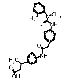 Cc1ccccc1N(C)C(=O)Nc1ccc(CC(=O)Nc2ccc(C(C)CC(=O)O)cc2)cc1